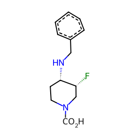 O=C(O)N1CC[C@H](NCc2ccccc2)[C@H](F)C1